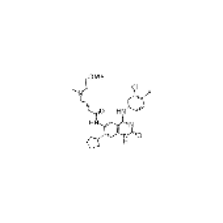 COCCN(C)CC=CC(=O)Nc1cc2c(Nc3ccc(F)c(Cl)c3)nc(=O)[nH]c2cc1C1CCCC1